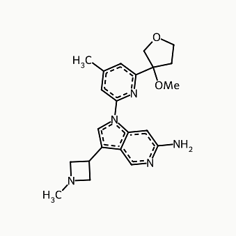 COC1(c2cc(C)cc(-n3cc(C4CN(C)C4)c4cnc(N)cc43)n2)CCOC1